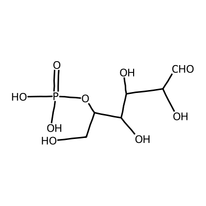 O=CC(O)C(O)C(O)C(CO)OP(=O)(O)O